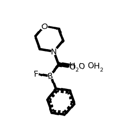 O.O.O=C(B(F)c1ccccc1)N1CCOCC1